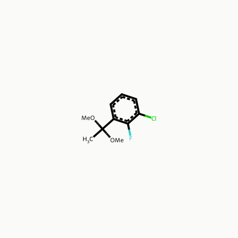 COC(C)(OC)c1cccc(Cl)c1F